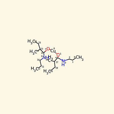 CCCNC([O][Cu][O]C(NCCC)C(C)CC)C(C)CC